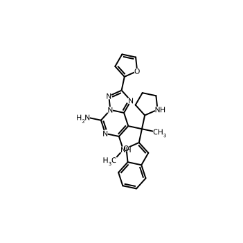 CNc1nc(N)n2nc(-c3ccco3)nc2c1C(C)(c1cc2ccccc2o1)C1CCCN1